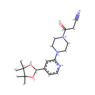 CC1(C)OB(c2ccnc(N3CCN(C(=O)CC#N)CC3)c2)OC1(C)C